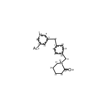 CC(=O)c1cncc(Cc2ccc(CN3CCCCC3=O)cc2)c1